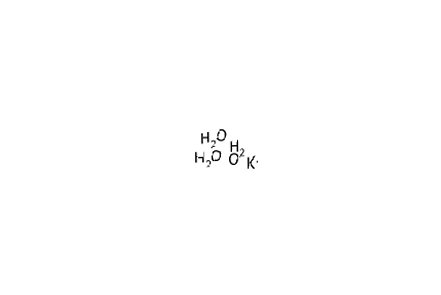 O.O.O.[K]